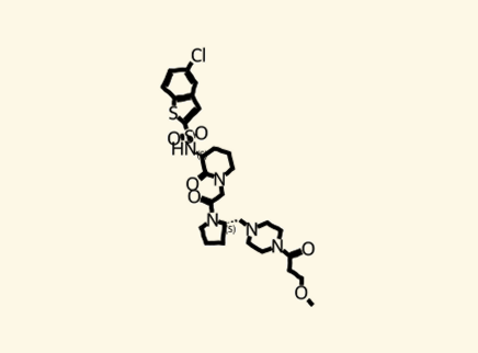 COCCC(=O)N1CCN(C[C@@H]2CCCN2C(=O)CN2CCC[C@H](NS(=O)(=O)c3cc4cc(Cl)ccc4s3)C2=O)CC1